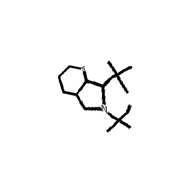 CC(C)(C)C1C2SCCCC2CN1C(C)(C)C